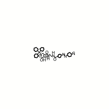 CN(C)c1ccc(N=Nc2ccc(C(=O)NCCNC(=O)C(CSC(c3ccccc3)(c3ccccc3)c3ccccc3)NC(=O)O)cc2)cc1